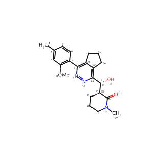 COc1cc(C)ccc1-c1nnc([C@H](O)[C@@H]2CCCN(C)C2=O)c2c1CCC2